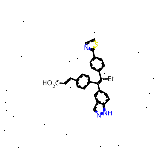 CC/C(=C(/c1ccc(/C=C/C(=O)O)cc1)c1ccc2[nH]ncc2c1)c1ccc(-c2nccs2)cc1